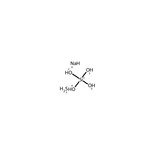 O[Si](O)(O)O.S.[NaH]